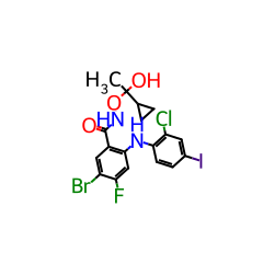 CC(O)(ONC(=O)c1cc(Br)c(F)cc1Nc1ccc(I)cc1Cl)C1CC1